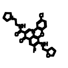 O=C(NCCN1CCCC1)c1cn2c3c(c(NCC4CCCO4)c(F)cc3c1=O)Oc1ccc(Cl)cc1-2